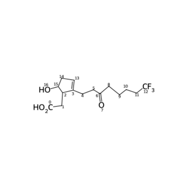 O=C(O)CC1C(CCC(=O)CCCCC(F)(F)F)=CCC1O